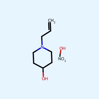 C=CCN1CCC(O)CC1.O=[N+]([O-])O